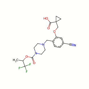 CC(OC(=O)N1CCN(Cc2ccc(C#N)cc2OCC2(C(=O)O)CC2)CC1)C(F)(F)F